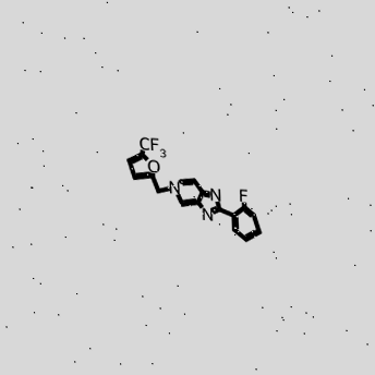 Fc1ccccc1-c1nc2ccn(Cc3ccc(C(F)(F)F)o3)cc-2n1